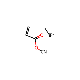 C=CC(=O)OC#N.CC(C)C